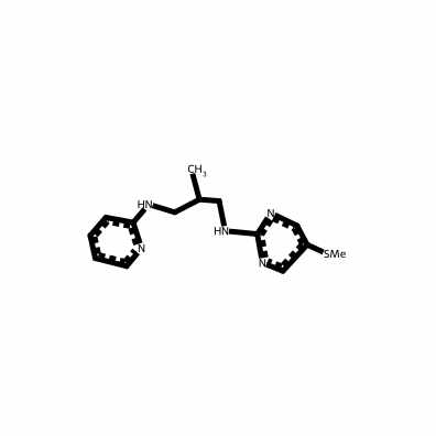 CSc1cnc(NCC(C)CNc2ccccn2)nc1